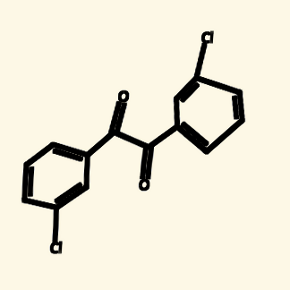 O=C(C(=O)c1cccc(Cl)c1)c1cccc(Cl)c1